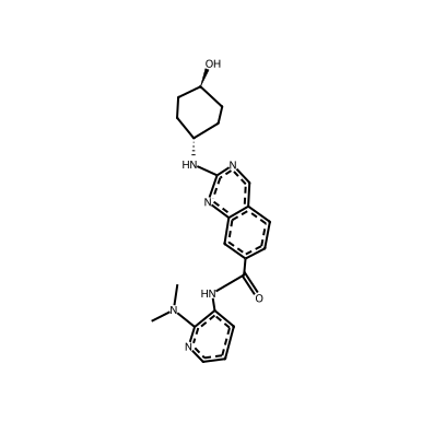 CN(C)c1ncccc1NC(=O)c1ccc2cnc(N[C@H]3CC[C@H](O)CC3)nc2c1